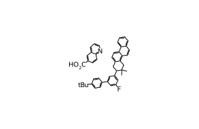 CC(C)(C)c1ccc(-c2cc(F)cc(C3Cc4ccc5c(ccc6ccccc65)c4CC3(C)C)c2)cc1.O=C(O)c1ccc2ncccc2c1